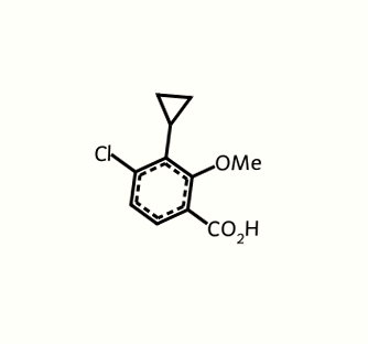 COc1c(C(=O)O)ccc(Cl)c1C1CC1